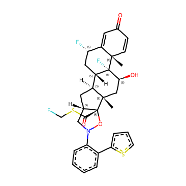 C[C@]12C=CC(=O)C=C1[C@@H](F)C[C@H]1[C@@H]3C[C@H]4CN(c5ccccc5-c5cccs5)O[C@@]4(C(=O)SCF)[C@@]3(C)C[C@H](O)[C@@]12F